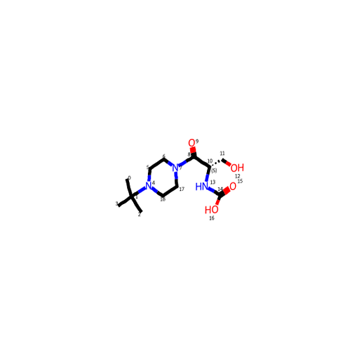 CC(C)(C)N1CCN(C(=O)[C@H](CO)NC(=O)O)CC1